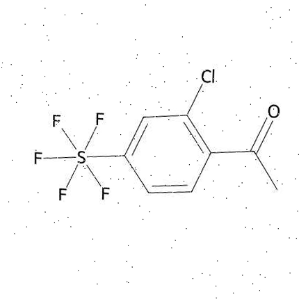 CC(=O)c1ccc(S(F)(F)(F)(F)F)cc1Cl